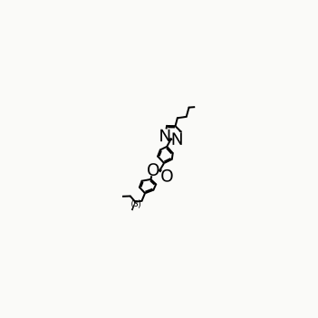 CCCCc1cnc(-c2ccc(C(=O)Oc3ccc(C[C@@H](C)CC)cc3)cc2)nc1